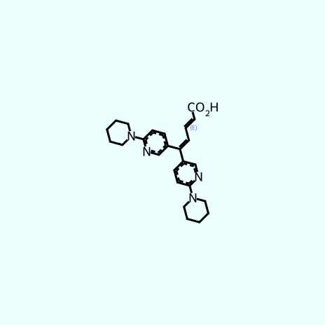 O=C(O)/C=C/C=C(c1ccc(N2CCCCC2)nc1)c1ccc(N2CCCCC2)nc1